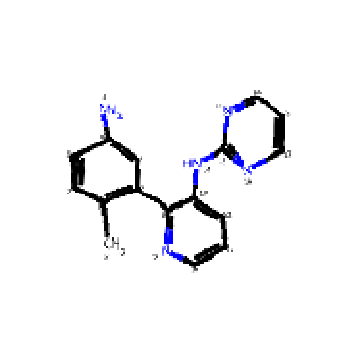 Cc1ccc(N)cc1-c1ncccc1Nc1ncccn1